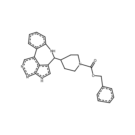 O=C(OCc1ccccc1)N1CCC(C2Nc3ccccc3-c3cnnc4[nH]cc2c34)CC1